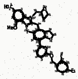 COc1cc(C(=O)O)cc2c1nc(Cc1c(F)cc(-c3cccc(OCc4ccc(Cl)cc4F)n3)c3c1CCO3)n2C[C@@H]1CCO1